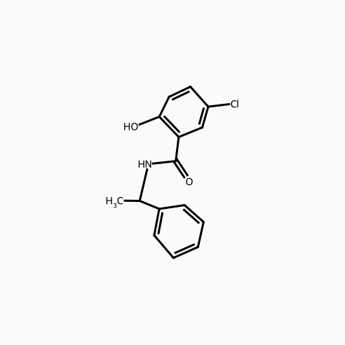 CC(NC(=O)c1cc(Cl)ccc1O)c1ccccc1